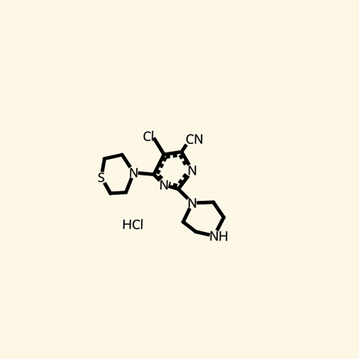 Cl.N#Cc1nc(N2CCNCC2)nc(N2CCSCC2)c1Cl